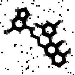 Nc1nc(NCCCc2nc3cccc(Cl)c3c(=O)n2-c2cc(F)cc(F)c2)c2nc[nH]c2n1